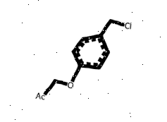 CC(=O)COc1ccc(CCl)cc1